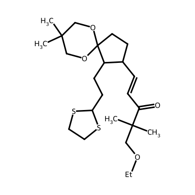 CCOCC(C)(C)C(=O)C=CC1CCC2(OCC(C)(C)CO2)C1CCC1SCCS1